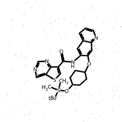 CC(C)(C)[Si](C)(C)OC1CCC(Oc2cc3ncccc3cc2NC(=O)c2csc3cncnc23)CC1